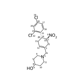 O=[N+]([O-])[C@H]1CC(CN2CCC(O)CC2)=CC[C@@H]1c1ccc(Cl)cc1Cl